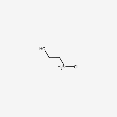 OCC[SiH2]Cl